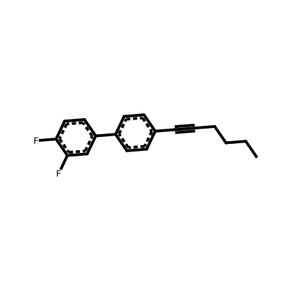 CCCCC#Cc1ccc(-c2ccc(F)c(F)c2)cc1